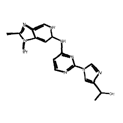 Cc1nc2c(n1C(C)C)=CC(Nc1ccnc(-n3cnc(C(C)O)c3)n1)NC=2